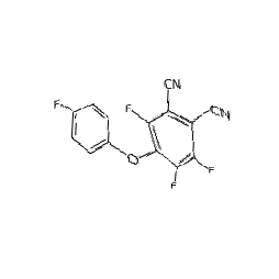 N#Cc1c(F)c(F)c(Oc2ccc(F)cc2)c(F)c1C#N